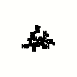 CC(C)(C)B(O)O.OB(O)CCCCBr